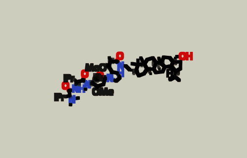 C=C(C)[C@@H]1CC[C@]2(CO)CC[C@]3(C)C(CCC4[C@@]5(C)CC[C@H](CCNC(=O)[C@H](C)[C@@H](OC)C6CCCN6C(=O)C[C@@H](OC)[C@H]([C@@H](C)CC)N(C)C(=O)[C@@H](NC(=O)C(C(C)C)N(C)C)C(C)C)C(C)(C)[C@]5(C)CC[C@]43C)[C@@H]12